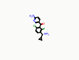 Nc1ccc(C(=O)c2c(Cl)ccc([C@H](N)C3CC3)c2F)cn1